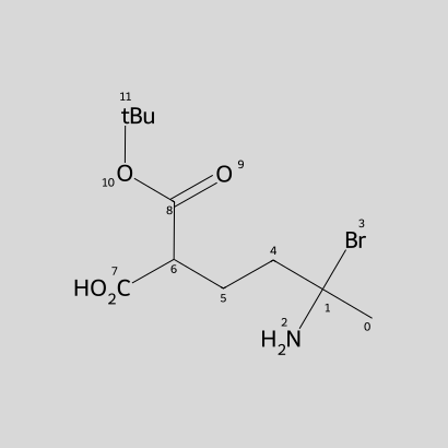 CC(N)(Br)CCC(C(=O)O)C(=O)OC(C)(C)C